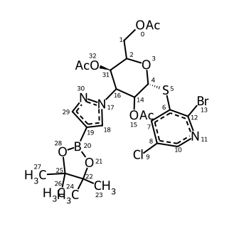 CC(=O)OCC1O[C@H](Sc2cc(Cl)cnc2Br)C(OC(C)=O)C(n2cc(B3OC(C)(C)C(C)(C)O3)cn2)[C@H]1OC(C)=O